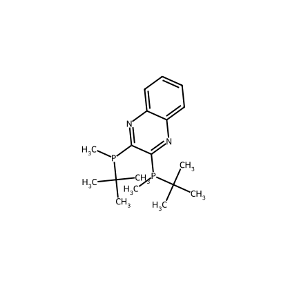 CP(c1nc2ccccc2nc1P(C)C(C)(C)C)C(C)(C)C